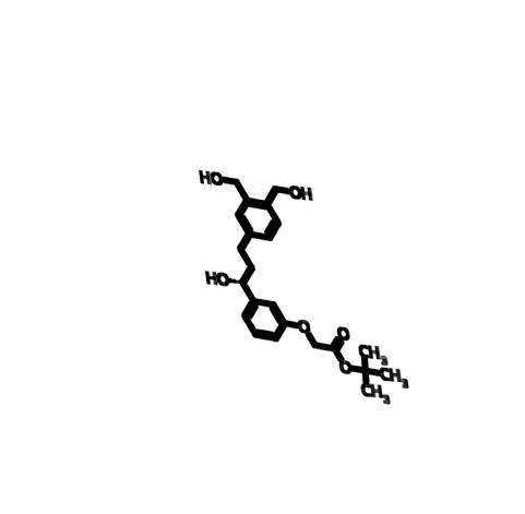 CC(C)(C)OC(=O)COc1cccc([C@H](O)CCc2ccc(CO)c(CO)c2)c1